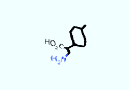 CC1CCC(C(CN)C(=O)O)CC1